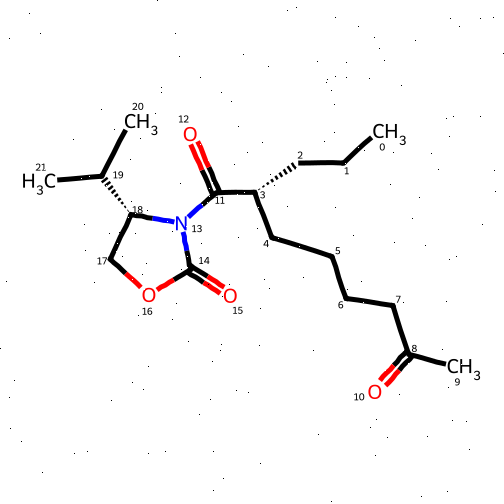 CCC[C@H](CCCCC(C)=O)C(=O)N1C(=O)OC[C@@H]1C(C)C